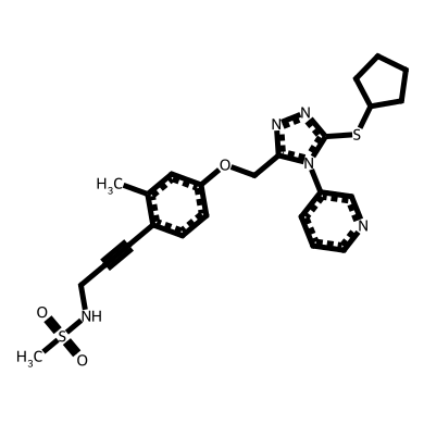 Cc1cc(OCc2nnc(SC3CCCC3)n2-c2cccnc2)ccc1C#CCNS(C)(=O)=O